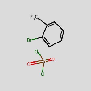 FC(F)(F)c1ccccc1Br.O=S(=O)(Cl)Cl